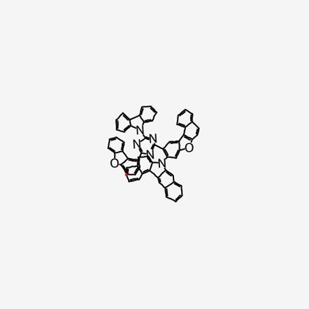 c1ccc2cc3c(cc2c1)c1c2ccccc2ccc1n3-c1cc2oc3ccc4ccccc4c3c2cc1-c1nc(-c2cccc3oc4ccccc4c23)nc(-n2c3ccccc3c3ccccc32)n1